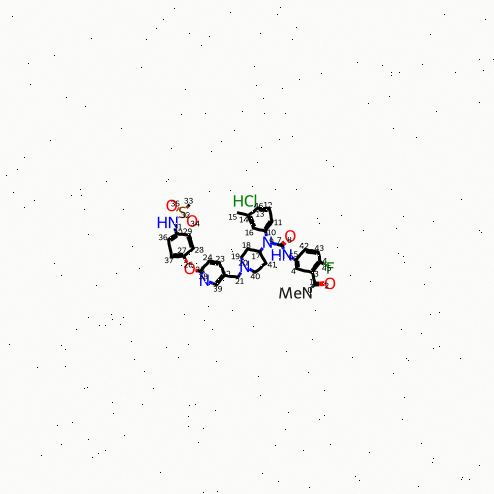 CNC(=O)c1cc(NC(=O)N(c2cccc(C)c2)C2CCN(Cc3ccc(Oc4ccc(NS(C)(=O)=O)cc4)nc3)CC2)ccc1F.Cl